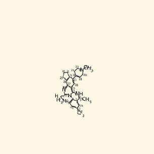 Cc1nc(N[C@H](C)c2cc(N)cc(C(F)(F)F)c2)c2cc(C3=CCN(C)CC3)c3c(c2n1)CCC3